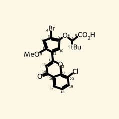 COc1cc(Br)c(OC(C(=O)O)C(C)(C)C)cc1-c1cc(=O)c2cccc(Cl)c2o1